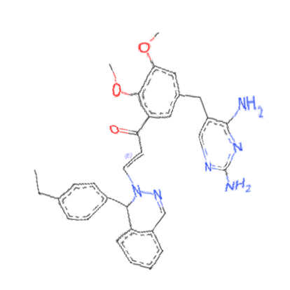 CCc1ccc(C2c3ccccc3C=NN2/C=C/C(=O)c2cc(Cc3cnc(N)nc3N)cc(OC)c2OC)cc1